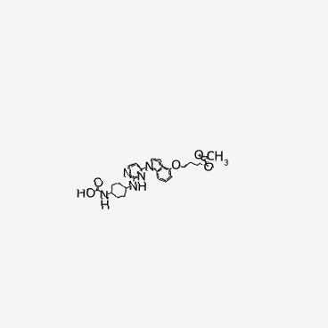 CS(=O)(=O)CCCOc1cccc2c1ccn2-c1ccnc(NC2CCC(NC(=O)O)CC2)n1